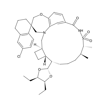 CC[C@@H]1O[C@@H]([C@H]2CCC[C@H](C)[C@@H](C)S(=O)(=O)NC(=O)c3ccc4c(c3)N(C[C@@H]3CC[C@H]32)C[C@@]2(CCCc3cc(Cl)ccc32)CO4)O[C@@H]1CC